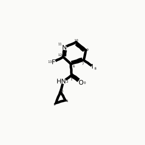 O=C(NC1CC1)c1c(I)ccnc1F